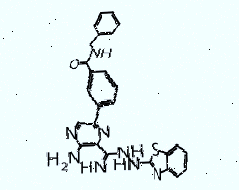 N=C(NNc1nc2ccccc2s1)c1nc(-c2cccc(C(=O)NCc3ccccc3)c2)cnc1N